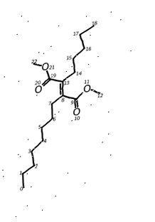 CCCCCCCCC(C(=O)OC)=C(CCCCC)C(=O)OC